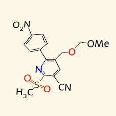 COCOCc1cc(C#N)c(S(C)(=O)=O)nc1-c1ccc([N+](=O)[O-])cc1